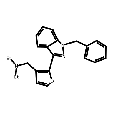 CCN(CC)Cc1ccoc1-c1nn(Cc2ccccc2)c2ccccc12